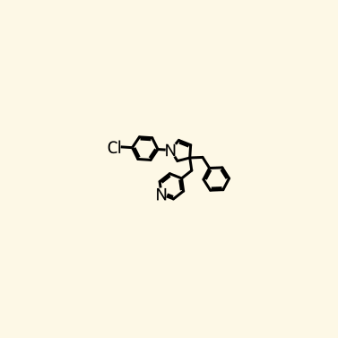 Clc1ccc(N2C=CC(Cc3ccccc3)(Cc3ccncc3)C2)cc1